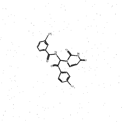 Cc1cccc(C(=O)NC(C(=O)c2ccc(C(F)(F)F)cc2)n2ccc(=O)[nH]c2=O)c1